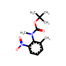 Cc1cccc([N+](=O)[O-])c1N(C)C(=O)OC(C)(C)C